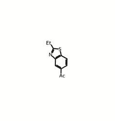 CCc1nc2cc(C(C)=O)ccc2s1